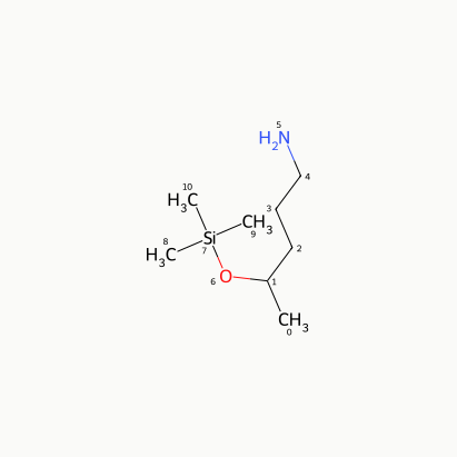 CC(CCCN)O[Si](C)(C)C